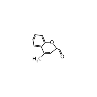 CC1=CC(C=O)Oc2ccccc21